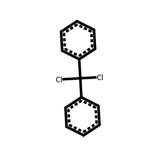 ClC(Cl)(c1cc[c]cc1)c1ccccc1